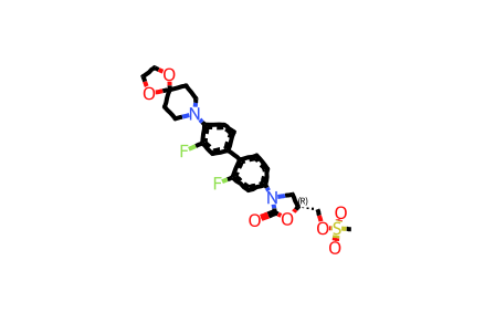 CS(=O)(=O)OC[C@H]1CN(c2ccc(-c3ccc(N4CCC5(CC4)OCCO5)c(F)c3)c(F)c2)C(=O)O1